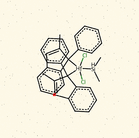 CC1=Cc2ccccc2[C]1(c1ccccc1)[Hf]([Cl])([Cl])([SiH](C)C)[C]1(c2ccccc2)C(C)=Cc2ccccc21